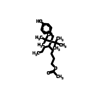 CCCC(CCCCOC(C)=O)S(Cc1ccc(O)cc1)(C(C)(C)C)C(C)(C)C